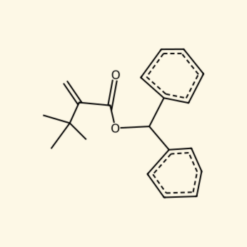 C=C(C(=O)OC(c1ccccc1)c1ccccc1)C(C)(C)C